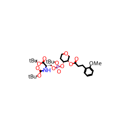 COc1ccccc1CCC(=O)O[C@@H]1COCC[C@H]1OP(=O)(OC[C@H](NC(=O)OC(C)(C)C)C(=O)OC(C)(C)C)OC(C)(C)C